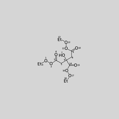 CCOOC(=O)CC(O)(CC(=O)OOCC)C(=O)OOCC